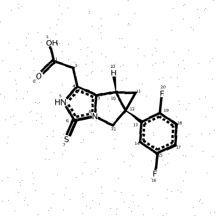 O=C(O)Cc1[nH]c(=S)n2c1[C@@H]1C[C@]1(c1cc(F)ccc1F)C2